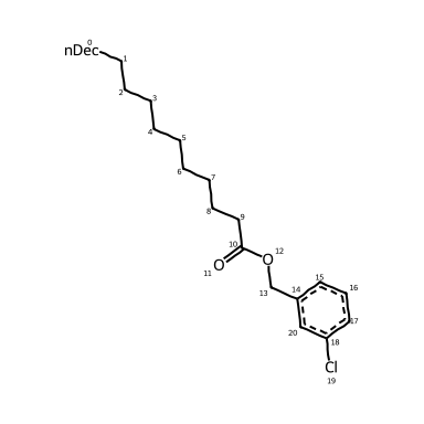 CCCCCCCCCCCCCCCCCCCC(=O)OCc1cccc(Cl)c1